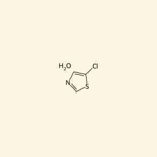 Clc1cn[c]s1.O